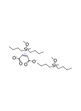 CCC[CH2][Sn+]([CH2]CCC)[O]C.CCC[CH2][Sn+]([CH2]CCC)[O]C.O=C([O-])/C=C\C(=O)[O-]